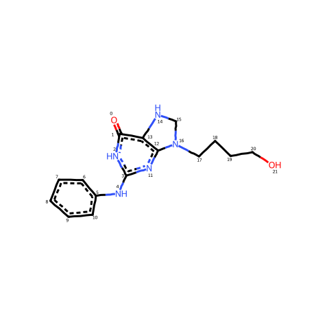 O=c1[nH]c(Nc2ccccc2)nc2c1NCN2CCCCO